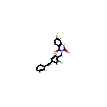 O=c1[nH]c2cc(Cl)ccc2c(=O)n1Cc1ccc(C#Cc2ccccc2)cc1Cl